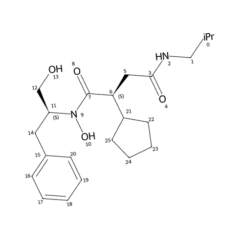 CC(C)CNC(=O)C[C@H](C(=O)N(O)[C@H](CO)Cc1ccccc1)C1CCCC1